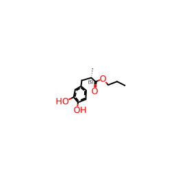 CCCOC(=O)[C@@H](C)Cc1ccc(O)c(O)c1